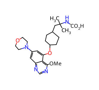 COc1ncnc2cc(N3CCOCC3)cc(OC3CCC(CC(C)(C)NC(=O)O)CC3)c12